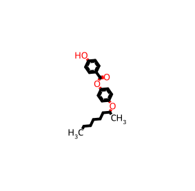 CCCCCCC(C)Oc1ccc(OC(=O)c2ccc(O)cc2)cc1